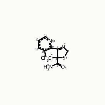 NC(=O)C1(Cl)SCN=C1c1ncccc1C(F)(F)F